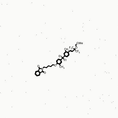 CCC(CC)(c1ccc(C=CC(OCOC)(C(F)(F)F)C(F)(F)F)c(C)c1)c1ccc(OCCCCCN2C(=O)c3ccccc3C2=O)c(C)c1